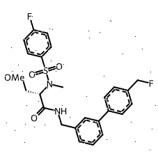 COC[C@@H](C(=O)NCc1cccc(-c2ccc(CF)cc2)c1)N(C)S(=O)(=O)c1ccc(F)cc1